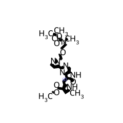 CCOC(=O)c1cc(C)[nH]c1/C=C1\C(=O)Nc2cnc(-c3ccnn3CCOCCN(C)C(=O)OC(C)(C)C)nc21